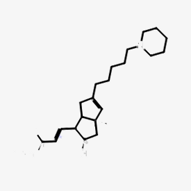 CCCCC[C@@H](O)/C=C/C1C2CC(CCCCCN3CCCCC3)=C[C@H]2C[C@H]1O